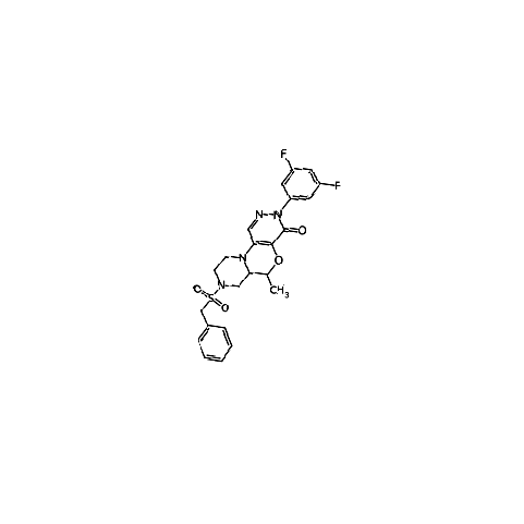 CC1Oc2c(cnn(-c3cc(F)cc(F)c3)c2=O)N2CCN(S(=O)(=O)Cc3ccccc3)CC12